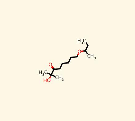 CCC(C)OCCCCCC(=O)C(C)(C)O